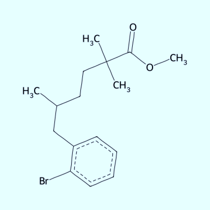 COC(=O)C(C)(C)CCC(C)Cc1ccccc1Br